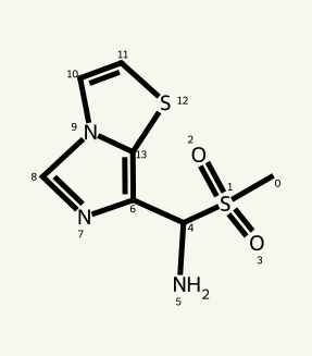 CS(=O)(=O)C(N)c1ncn2ccsc12